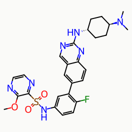 COc1nccnc1S(=O)(=O)Nc1ccc(F)c(-c2ccc3nc(N[C@H]4CC[C@H](N(C)C)CC4)ncc3c2)c1